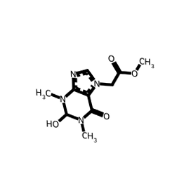 COC(=O)Cn1cnc2c1C(=O)N(C)C(O)N2C